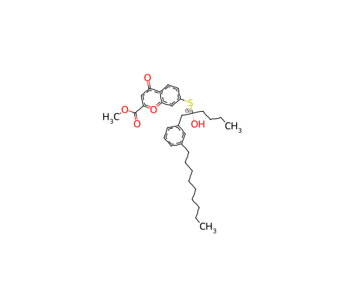 CCCCCCCCCc1cccc(C[C@](O)(CCCC)Sc2ccc3c(=O)cc(C(=O)OC)oc3c2)c1